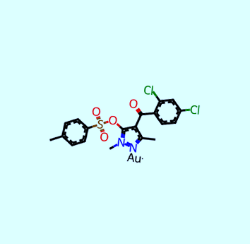 Cc1ccc(S(=O)(=O)Oc2c(C(=O)c3ccc(Cl)cc3Cl)c(C)nn2C)cc1.[Au]